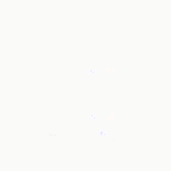 COc1cccc(-c2ccc(CNC(=O)C3CC3c3ccccc3)c3c2CCN(C(=O)NC2CC2)C3)c1